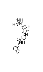 CNC(=N)N1CCc2[nH]c(C(C)c3nc4ccc(C(=O)NCCc5cccc6ccccc56)cc4n3C)nc2C1